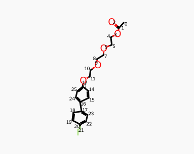 CC(=O)OCCOCCOCCOc1ccc(-c2ccc(F)cc2)cc1